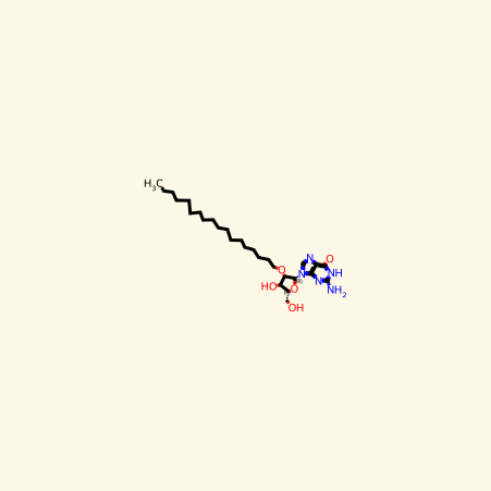 CCCCCCCCCCCCCCCCCCOC1C(O)[C@@H](CO)O[C@H]1n1cnc2c(=O)[nH]c(N)nc21